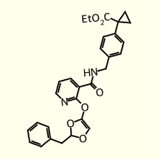 CCOC(=O)C1(c2ccc(CNC(=O)c3cccnc3OC3=COC(Cc4ccccc4)O3)cc2)CC1